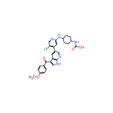 COc1ccc(C(=O)c2c[nH]c3ncc(-c4cc(NC5CCC(NC(=O)O)CC5)ncc4Cl)cc23)cc1